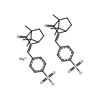 CC12CCC(C(=Cc3ccc(S(=O)(=O)[O-])cc3)C1=O)C2(C)C.CC12CCC(C(=Cc3ccc(S(=O)(=O)[O-])cc3)C1=O)C2(C)C.[Mg+2]